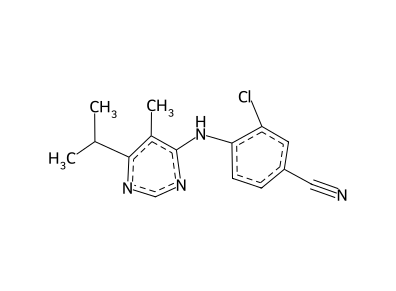 Cc1c(Nc2ccc(C#N)cc2Cl)ncnc1C(C)C